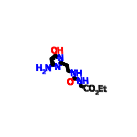 CCOC(=O)CNC(=O)NCCc1nc(N)cc(O)n1